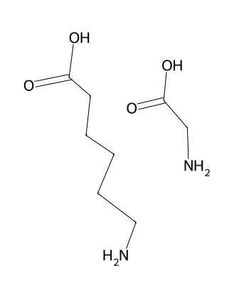 NCC(=O)O.NCCCCCC(=O)O